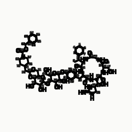 CC(c1ccccc1)C1NC(=O)CNC(=O)C(CO)NC(=O)C(C(O)C2CNC(=N)N2)NC(=O)C(Cc2ccc(OC3OC(CO)C(OC4OC5COC(CC6CCN(C(=O)OCc7ccccc7)CC6)OC5C(O)C4O)C(O)C3O)cc2)NC1=O